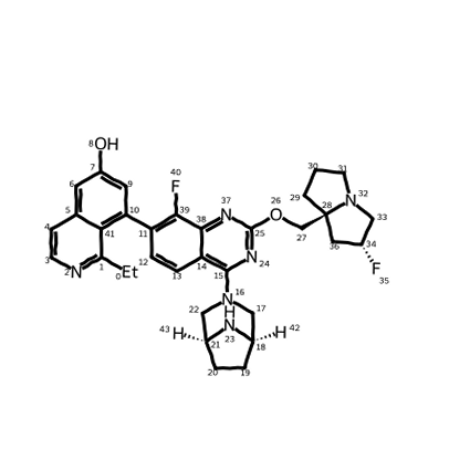 CCc1nccc2cc(O)cc(-c3ccc4c(N5C[C@H]6CC[C@@H](C5)N6)nc(OC[C@@]56CCCN5C[C@H](F)C6)nc4c3F)c12